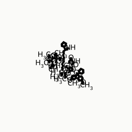 COC(=O)C1(OC(C)=O)CC(OC(C)=O)C(OC(C)=O)C(OC(=O)N(CCCCCOP(OC2C(OC)[C@H](n3ccc(=O)[nH]c3=O)O[C@@H]2COC(c2ccccc2)(c2ccc(OC)cc2)c2ccc(OC)cc2)N(C(C)C)C(C)C)CCCCc2c[nH]c3ccccc23)O1